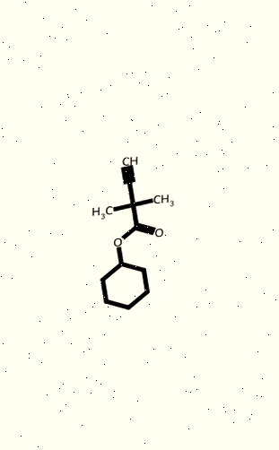 C#CC(C)(C)C(=O)OC1CCCCC1